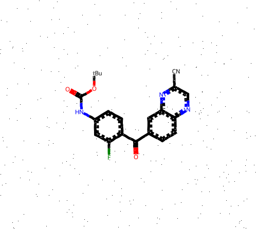 CC(C)(C)OC(=O)Nc1ccc(C(=O)c2ccc3ncc(C#N)nc3c2)c(F)c1